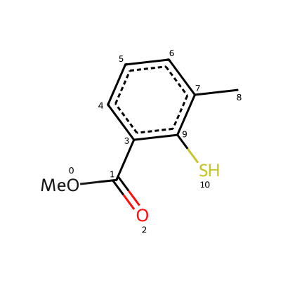 COC(=O)c1cccc(C)c1S